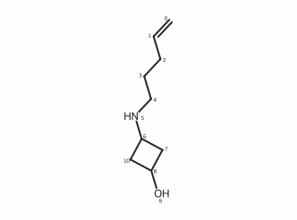 C=CCCCNC1CC(O)C1